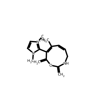 C=C1NC/C=C\C(C)=C(\c2n(C)cc[n+]2C)C(=C)O1